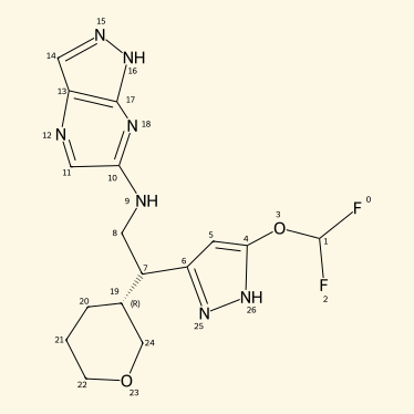 FC(F)Oc1cc(C(CNc2cnc3cn[nH]c3n2)[C@H]2CCCOC2)n[nH]1